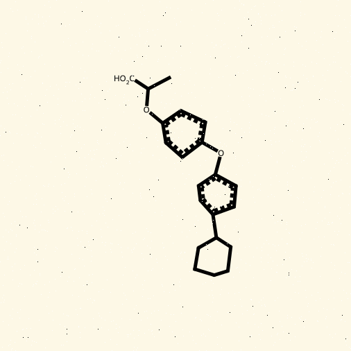 CC(Oc1ccc(Oc2ccc(C3CCCCC3)cc2)cc1)C(=O)O